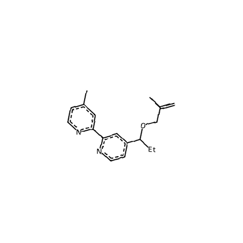 C=C(C)COC(CC)c1ccnc(-c2cc(C)ccn2)c1